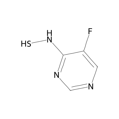 Fc1cncnc1NS